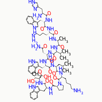 CC(C)C[C@H](NC(=O)[C@H](Cc1c[nH]c2ccccc12)NC(=O)[C@H](CC(N)=O)NC(=O)[C@@H](NC(=O)[C@H](C)NC(=O)[C@H](CCCCN)NC(=O)[C@H](Cc1c[nH]c2ccccc12)NC(=O)[C@@H](N)Cc1c[nH]cn1)C(C)C)C(=O)N[C@@H](CCCCN)C(=O)N1CCC[C@H]1C(=O)N[C@@H](Cc1c[nH]c2ccccc12)C(=O)N[C@H](C(=O)O)[C@@H](C)O